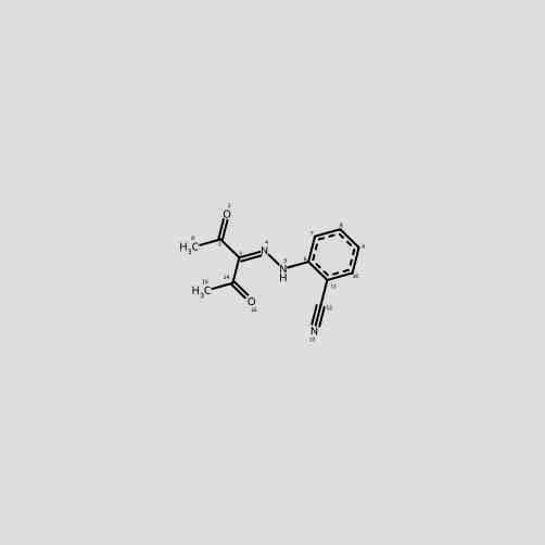 CC(=O)C(=NNc1ccccc1C#N)C(C)=O